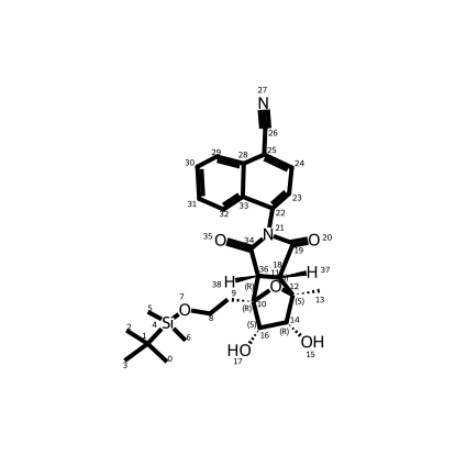 CC(C)(C)[Si](C)(C)OCC[C@]12O[C@](C)([C@H](O)[C@@H]1O)[C@H]1C(=O)N(c3ccc(C#N)c4ccccc34)C(=O)[C@H]12